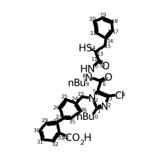 CCCCc1nc(Cl)c(C(=O)N(CCCC)NC(=O)[C@@H](S)Cc2ccccc2)n1Cc1ccc(-c2ccccc2C(=O)O)cc1